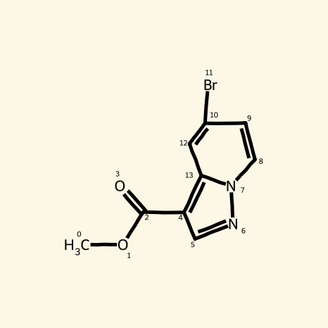 COC(=O)c1cnn2ccc(Br)cc12